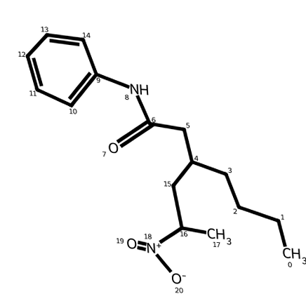 CCCCC(CC(=O)Nc1ccccc1)CC(C)[N+](=O)[O-]